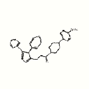 COc1ccc(C2CCC(C(=O)CCC3=CC=C(c4ccccc4)C3c3ccccc3)CC2)cc1